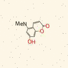 CNc1cc(O)cc2oc(=O)ccc12